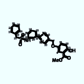 COC(=O)c1cc(OCc2cnc(-c3cccc(NS(=O)(=O)Cc4ccccc4)c3)nc2)ccc1O